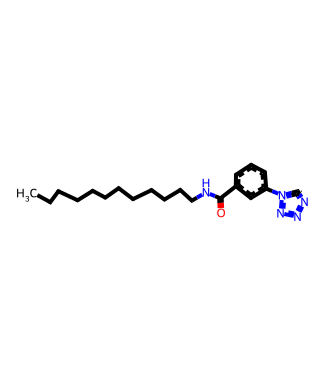 CCCCCCCCCCCCNC(=O)c1cccc(-n2[c]nnn2)c1